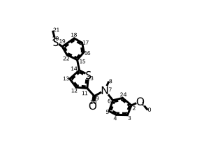 COc1cccc(N(C)C(=O)c2ccc(-c3cccc(SC)c3)s2)c1